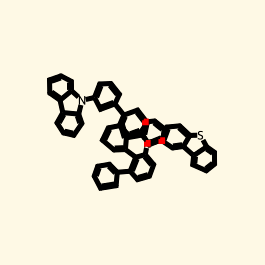 c1ccc(-c2ccccc2-c2c(-c3ccccc3)cccc2N(c2ccc(-c3cccc(-n4c5ccccc5c5ccccc54)c3)cc2)c2ccc3sc4ccccc4c3c2)cc1